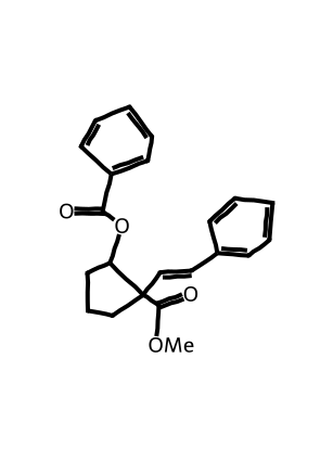 COC(=O)C1(C=Cc2ccccc2)CCCC1OC(=O)c1ccccc1